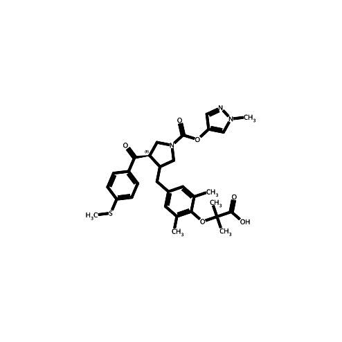 CSc1ccc(C(=O)[C@H]2CN(C(=O)Oc3cnn(C)c3)CC2Cc2cc(C)c(OC(C)(C)C(=O)O)c(C)c2)cc1